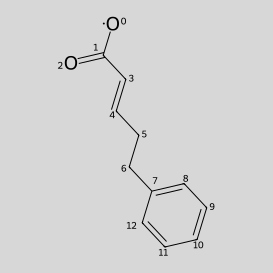 [O]C(=O)C=CCCc1ccccc1